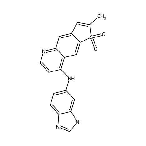 CC1=Cc2cc3nccc(Nc4ccc5nc[nH]c5c4)c3cc2S1(=O)=O